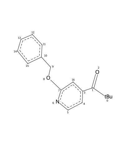 CC(C)(C)C(=O)c1ccnc(OCc2ccccc2)c1